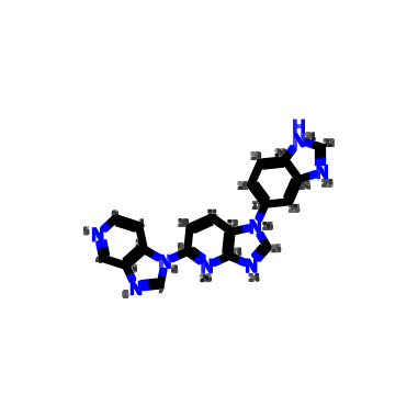 c1cc2c(cn1)ncn2-c1ccc2c(ncn2-c2ccc3[nH]cnc3c2)n1